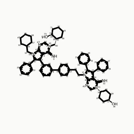 N=c1c2c(-c3cccc(-c4ccc(CCn5c(-c6ccccc6)c(-c6ccccc6)c6c(=N)n([C@H]7CC[C@H](O)CC7)cnc65)cc4)c3)c(-c3ccccc3)n(CC3CCCCC3)c2ncn1C[C@H]1CCCC[C@@H]1O